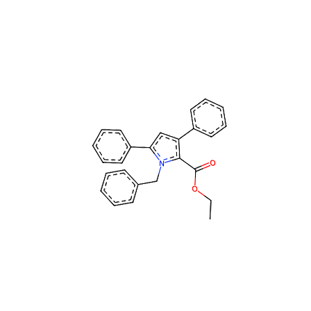 CCOC(=O)c1c(-c2ccccc2)cc(-c2ccccc2)n1Cc1ccccc1